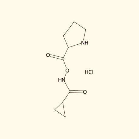 Cl.O=C(NOC(=O)C1CCCN1)C1CC1